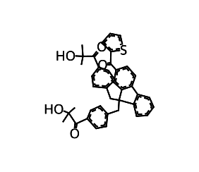 CC(C)(O)C(=O)c1ccc(CC2(Cc3ccc(C(=O)C(C)(C)O)cc3)c3ccccc3-c3ccc(C(=O)c4cccs4)cc32)cc1